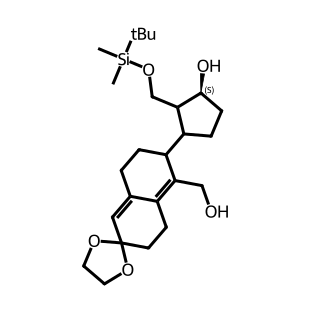 CC(C)(C)[Si](C)(C)OCC1C(C2CCC3=CC4(CCC3=C2CO)OCCO4)CC[C@@H]1O